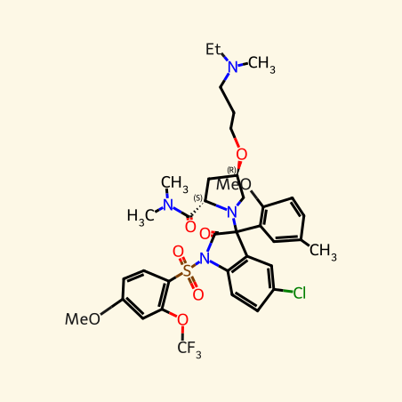 CCN(C)CCCO[C@@H]1C[C@@H](C(=O)N(C)C)N(C2(c3cc(C)ccc3OC)C(=O)N(S(=O)(=O)c3ccc(OC)cc3OC(F)(F)F)c3ccc(Cl)cc32)C1